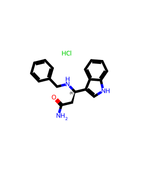 Cl.NC(=O)C[C@@H](NCc1ccccc1)c1c[nH]c2ccccc12